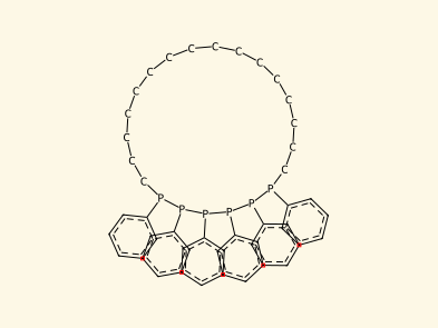 c1ccc(P2CCCCCCCCCCCCCCCCP(c3ccccc3)P(c3ccccc3)P(c3ccccc3)P(c3ccccc3)P2c2ccccc2)cc1